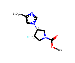 CCOC(=O)c1cn([C@@H]2CN(C(=O)OC(C)(C)C)C[C@@H]2F)cn1